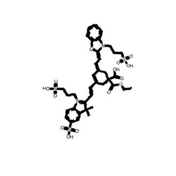 CCOC(=O)C1(C(=O)O)CC(/C=C/C2=[N+](CCCS(=O)(=O)O)c3ccc(S(=O)(=O)O)cc3C2(C)C)=CC(=C/C=C2\Oc3ccccc3N2CCCS(=O)(=O)O)/C1